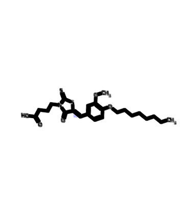 CCCCCCCCOc1ccc(/C=C2\SC(=S)N(CCCC(=O)O)C2=O)cc1OC